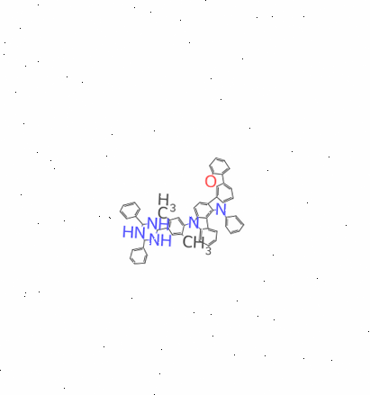 Cc1cc(-n2c3ccccc3c3c2ccc2c4c5oc6ccccc6c5ccc4n(-c4ccccc4)c23)c(C)cc1C1NC(c2ccccc2)NC(c2ccccc2)N1